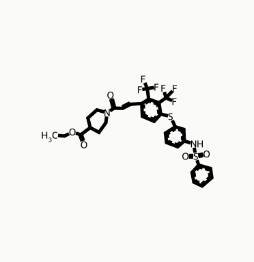 CCOC(=O)C1CCN(C(=O)C=Cc2ccc(Sc3cccc(NS(=O)(=O)c4ccccc4)c3)c(C(F)(F)F)c2C(F)(F)F)CC1